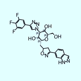 OC[C@H]1O[C@H](CC2CC(c3ccc4cn[nH]c4c3)=NO2)[C@H](O)[C@@H](n2cc(-c3cc(F)c(F)c(F)c3)nn2)[C@H]1O